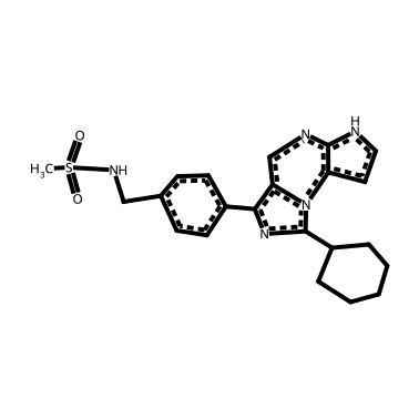 CS(=O)(=O)NCc1ccc(-c2nc(C3CCCCC3)n3c2cnc2[nH]ccc23)cc1